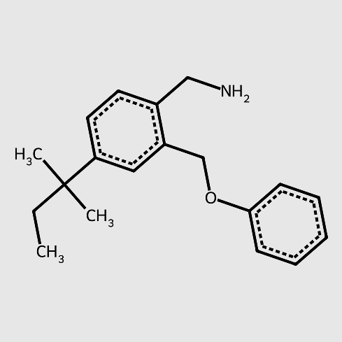 CCC(C)(C)c1ccc(CN)c(COc2ccccc2)c1